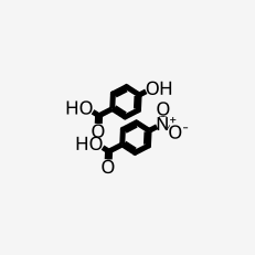 O=C(O)c1ccc(O)cc1.O=C(O)c1ccc([N+](=O)[O-])cc1